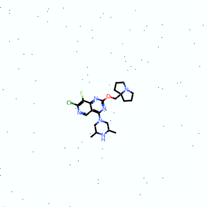 CC1CN(c2nc(OCC34CCCN3CCC4)nc3c(F)c(Cl)ncc23)CC(C)N1